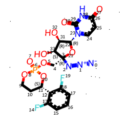 [N-]=[N+]=N[C@]1(COP2(=O)OCC[C@@H](c3c(F)cccc3F)O2)O[C@@H](n2ccc(=O)[nH]c2=O)[C@H](O)[C@@H]1O